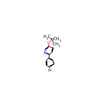 C[Si](C)(C)Oc1ccc(-c2ccc(Br)cc2)nc1